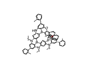 CSN1c2cc3c(cc2B2c4sc5ccccc5c4Oc4cc(-c5ccccc5C)cc1c42)B1c2cc4c(cc2N(SC)c2cc(-c5ccccc5C)cc(c21)N3SC)Nc1cc(-c2ccccc2C)cc2c1B4c1sc3ccccc3c1O2